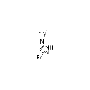 CN(C)/C=N/c1cc(Br)n[nH]1